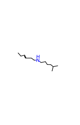 CC/C=C/CCNCCCCC(C)C